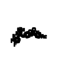 CC(=O)c1ccc(N2CC3(CCN(Cc4cn(C(C)(C)C)nc4-c4ccc(F)c(F)c4F)CC3)OC2=O)nc1